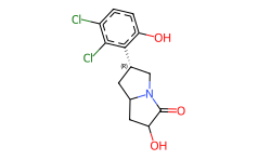 O=C1C(O)CC2C[C@H](c3c(O)ccc(Cl)c3Cl)CN12